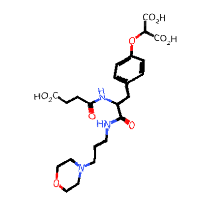 O=C(O)CCC(=O)NC(Cc1ccc(OC(C(=O)O)C(=O)O)cc1)C(=O)NCCCN1CCOCC1